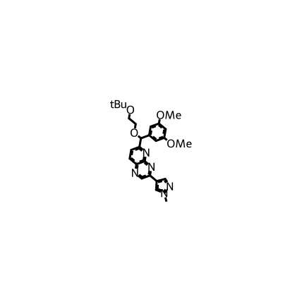 COc1cc(OC)cc(C(OCCOC(C)(C)C)c2ccc3ncc(-c4cnn(C)c4)nc3n2)c1